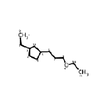 [CH2]CC1C[CH]C(CCCOCC)C1